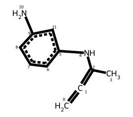 C=C=C(C)Nc1cccc(N)c1